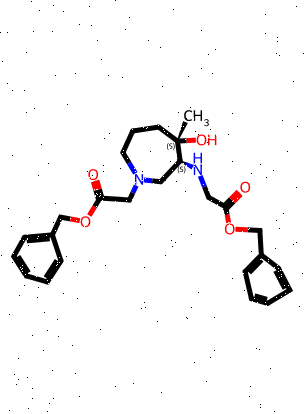 C[C@]1(O)CCCN(CC(=O)OCc2ccccc2)C[C@@H]1NCC(=O)OCc1ccccc1